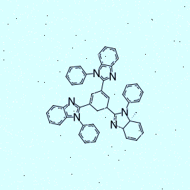 C[C@]12C=CC=CC1N=C(C1C=C(c3nc4ccccc4n3-c3ccccc3)C=C(c3nc4ccccc4n3-c3ccccc3)C1)N2c1ccccc1